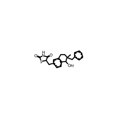 CC1(Cc2ccccc2)CCc2cc(CC3SC(=O)NC3=O)ccc2C1O